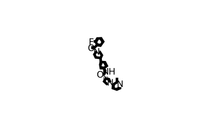 Cc1ncccc1N1CC[C@H](C(=O)Nc2ccc(C3CCN(C(=O)c4ccccc4F)CC3)cc2)C1